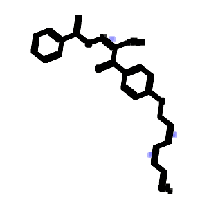 C=C/C=C\C=C/CSc1ccc(C(=O)/C(CCCCCC)=N\OC(=O)c2ccccc2)cc1